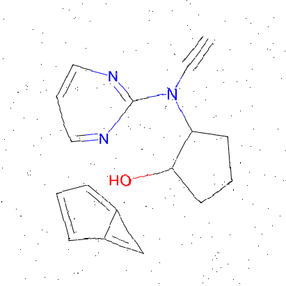 C#CN(c1ncccn1)C1CCCC1O.c1cc2cc-2c1